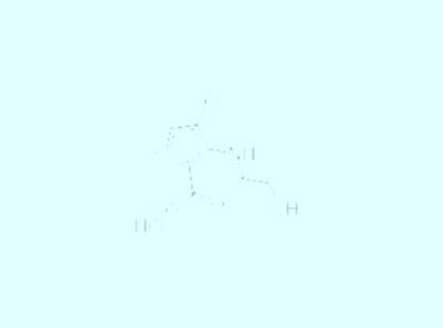 CCCNc1c(C)csc1C(=O)O.Cl